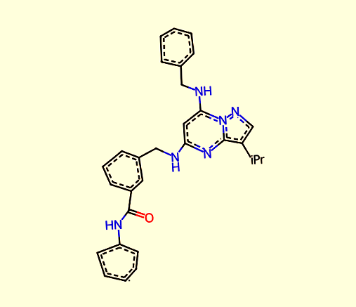 CC(C)c1cnn2c(NCc3ccccc3)cc(NCc3cccc(C(=O)Nc4cc[c]cc4)c3)nc12